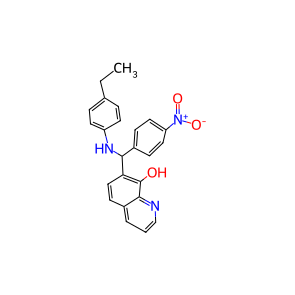 CCc1ccc(NC(c2ccc([N+](=O)[O-])cc2)c2ccc3cccnc3c2O)cc1